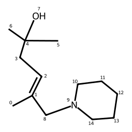 CC(=CCC(C)(C)O)CN1CCCCC1